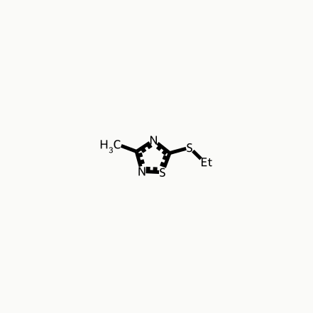 CCSc1nc(C)ns1